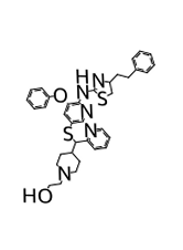 OCCN1CCC(C(Sc2cnc(NC3=NC(CCc4ccccc4)CS3)c(Oc3ccccc3)c2)c2ccccn2)CC1